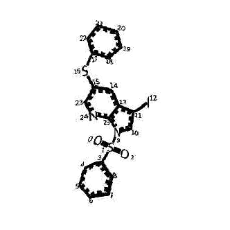 O=S(=O)(c1ccccc1)n1cc(I)c2cc(Sc3ccccc3)cnc21